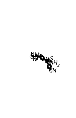 CNC(=O)c1cc(Oc2ccc(C3=NN(C(N)=S)C(c4ccc(C#N)cc4)C3)cc2)ccn1